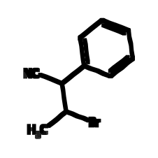 CC(Br)C(C#N)c1ccccc1